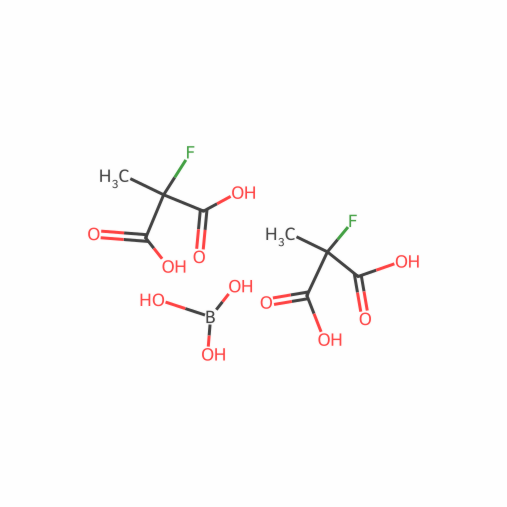 CC(F)(C(=O)O)C(=O)O.CC(F)(C(=O)O)C(=O)O.OB(O)O